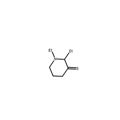 CCC1C(=S)CCCN1CC